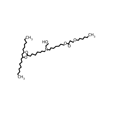 CCCCCCCCC(CCCCCCCC)OC(=O)CCCCCCCN(CCO)CCCCCCCOC(=O)CCOCCCCCC